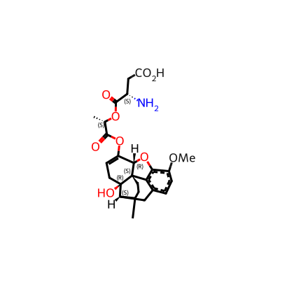 COc1ccc2c3c1O[C@H]1C(OC(=O)[C@H](C)OC(=O)[C@@H](N)CC(=O)O)=CC[C@@]4(O)[C@@H](C2)C(C)CC[C@]314